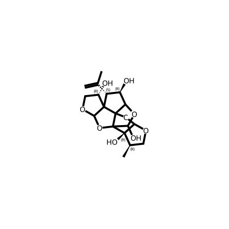 C=C(C)[C@@H]1[C@@H](O)C2OC(O)C34OC5OC[C@H](O)C51C23CC1OC[C@@H](C)[C@@]14O